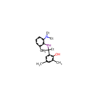 CCN(CC)c1cccc(C)c1PC(CC)(CC)c1cc(C)cc(C)c1O